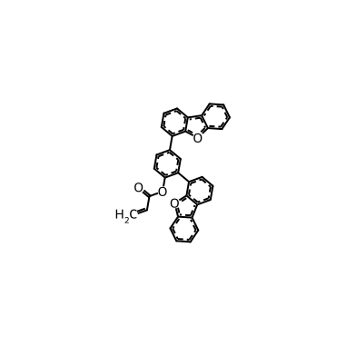 C=CC(=O)Oc1ccc(-c2cccc3c2oc2ccccc23)cc1-c1cccc2c1oc1ccccc12